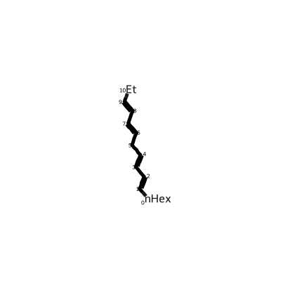 [CH2]CCCCCC=CC=CCC=CC=CCC